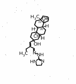 CCC(C=NNC1=NCCN1)=C[C@]1(O)CC[C@@]2(C)[C@H](CC[C@@H]3[C@@H]2CC[C@]2(C)CCC[C@]32O)C1